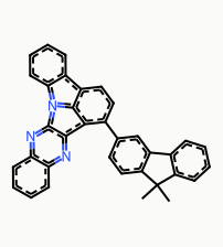 CC1(C)c2ccccc2-c2cc(-c3ccc4c5ccccc5n5c6nc7ccccc7nc6c3c45)ccc21